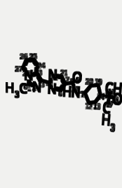 Cc1nc(-c2ncc(C(=O)N[C@H]3CC[C@H](C(C)(C)O)CC3)cn2)c2ccccn12